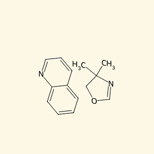 CC1(C)COC=N1.c1ccc2ncccc2c1